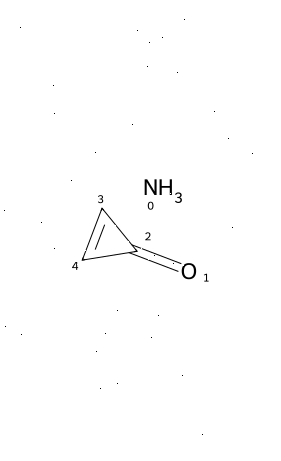 N.O=c1cc1